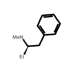 CC[C@H](Cc1ccccc1)NC